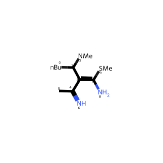 CCCCC(NC)/C(C(C)=N)=C(/N)SC